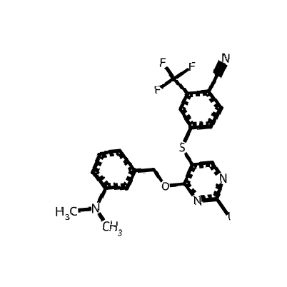 CN(C)c1cccc(COc2nc(I)ncc2Sc2ccc(C#N)c(C(F)(F)F)c2)c1